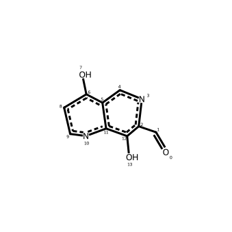 O=Cc1ncc2c(O)ccnc2c1O